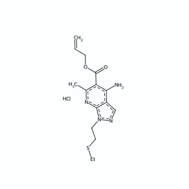 C=CCOC(=O)c1c(C)nc2c(cnn2CCSCC)c1N.Cl